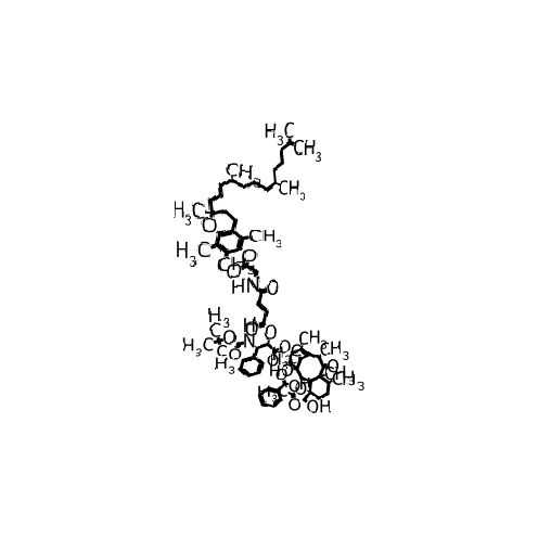 CC(=O)O[C@@]12CO[C@@H]1C[C@H](C)[C@@]1(C)C(=O)[C@H](C)C3=C(C)[C@@H](OC(=O)[C@H](OC(=O)CCC(=O)NCC(=O)Oc4c(C)c(C)c5c(c4C)CC[C@@](C)(CCC[C@H](C)CCC[C@H](C)CCCC(C)C)O5)[C@@H](NC(=O)OC(C)(C)C)c4ccccc4)C[C@@](O)([C@@H](OC(=O)c4ccccc4)[C@H]21)C3(C)C